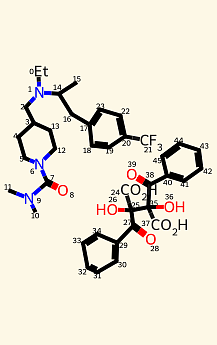 CCN(CC1CCN(C(=O)N(C)C)CC1)C(C)Cc1ccc(C(F)(F)F)cc1.O=C(O)C(O)(C(=O)c1ccccc1)C(O)(C(=O)O)C(=O)c1ccccc1